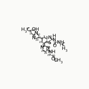 CCNC(=O)Nc1nc2cc(-c3cnc(CC(C)O)nc3)cc(-c3nccc(NCCOC)n3)c2s1